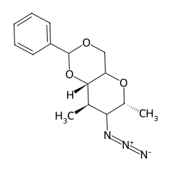 C[C@@H]1C(N=[N+]=[N-])[C@@H](C)OC2COC(c3ccccc3)O[C@H]21